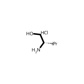 CC(C)[C@H](N)CO.Cl